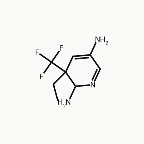 CCC1(C(F)(F)F)C=C(N)C=NC1N